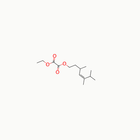 CCOC(=O)C(=O)OCCC(C)C=C(C)C(C)C